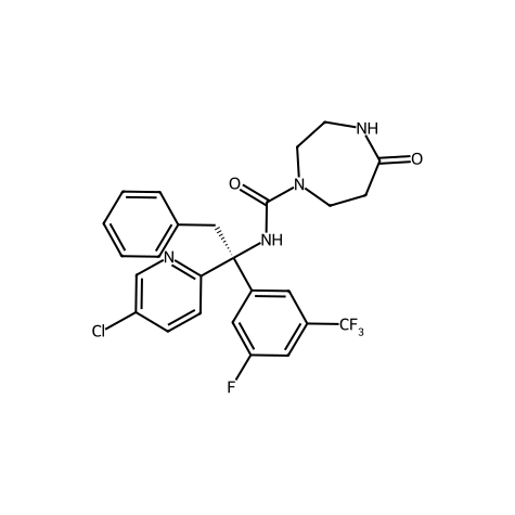 O=C1CCN(C(=O)N[C@@](Cc2ccccc2)(c2cc(F)cc(C(F)(F)F)c2)c2ccc(Cl)cn2)CCN1